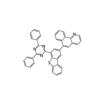 c1ccc(-c2nc(-c3ccccc3)nc(-c3cc(-c4cc5cccnc5c5ccccc45)cc4c3sc3ccccc34)n2)cc1